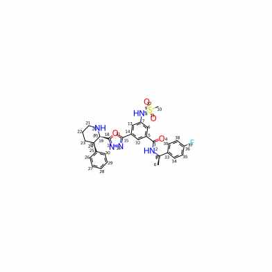 C[C@@H](NC(=O)c1cc(NS(C)(=O)=O)cc(-c2nnc([C@@H]3NCCC[C@@H]3c3ccccc3)o2)c1)c1ccc(F)cc1